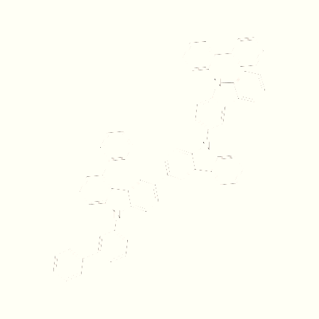 c1ccc(-c2cccc(-n3c4ccc(-c5ccc6c(c5)c5ccccc5n6-c5ccc6c(c5)c5ccccc5n6-c5ccccc5-c5ccccc5)cc4c4c(-c5ccccc5)cccc43)c2)cc1